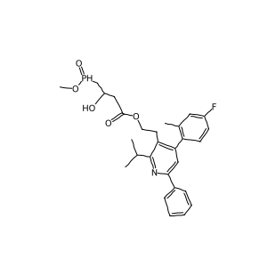 CO[PH](=O)CC(O)CC(=O)OCCc1c(-c2ccc(F)cc2C)cc(-c2ccccc2)nc1C(C)C